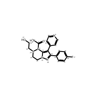 NC(=O)N1c2c(-c3ccncc3)c(-c3ccc(F)cc3)nn2CCN1CCO